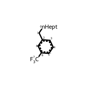 CCCCCCCCc1cc[c]c(C(F)(F)F)c1